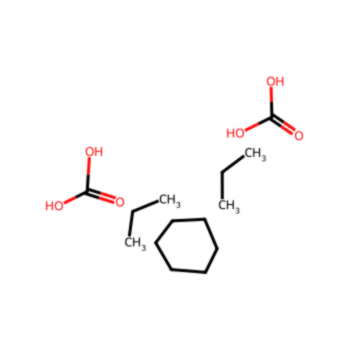 C1CCCCC1.CCC.CCC.O=C(O)O.O=C(O)O